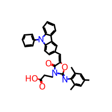 Cc1cc(C)c(N=C2O/C(=C/c3ccc4c(c3)c3ccccc3n4-c3ccccc3)C(=O)N2CCC(=O)O)c(C)c1